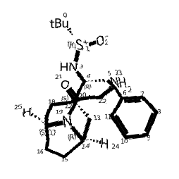 CC(C)(C)[S@+]([O-])N[C@H](Cc1ccccc1)[C@@H]1C[C@H]2CC[C@@H](C1)N2C(=O)CN